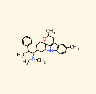 Cc1ccc2[nH]c3c(c2c1)CC(C)OC31CCC(C(C(C)c2ccccc2)N(C)C)CC1